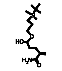 C=C(CCC(O)OCCC[Si](C)(C)C(C)(C)C)C(N)=O